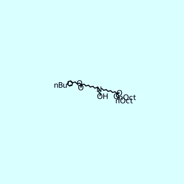 CCCCCCCCC(CCCCCCCC)OC(=O)CCCCCCCN(CCO)CCCCCCCC(=O)OCCc1ccc(CCCC)cc1